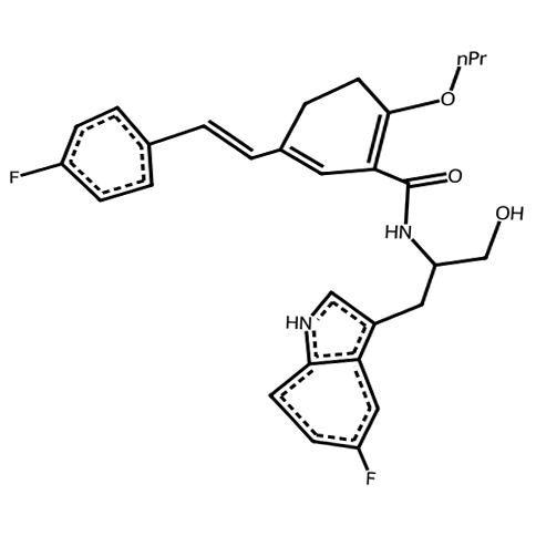 CCCOC1=C(C(=O)NC(CO)Cc2c[nH]c3ccc(F)cc23)C=C(/C=C/c2ccc(F)cc2)CC1